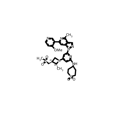 COc1ccncc1-c1cc2c(cnn2-c2cc(N3C[C@H](CS(C)(=O)=O)[C@H]3C)cc(NC3CCS(=O)(=O)CC3)n2)c(C)n1